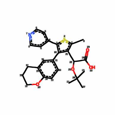 Cc1sc(-c2ccncc2)c(-c2ccc3c(c2)CCCO3)c1C(OC(C)(C)C)C(=O)O